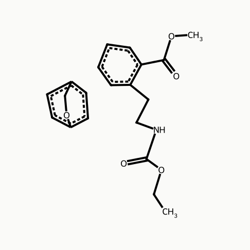 CCOC(=O)NCCc1ccccc1C(=O)OC.c1cc2ccc1CO2